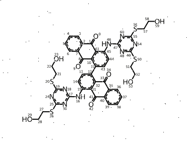 O=C1c2ccccc2C(=O)c2c(-c3ccc(Nc4nc(SCCO)nc(SCCO)n4)c4c3C(=O)c3ccccc3C4=O)ccc(Nc3nc(SCCO)nc(SCCO)n3)c21